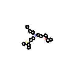 c1ccc(-c2ccc3cc(N(c4ccc5cc(-c6cccc7c6oc6ccc8ccccc8c67)ccc5c4)c4ccc5cc(-c6cc7ccccc7c7c6sc6ccccc67)ccc5c4)ccc3c2)cc1